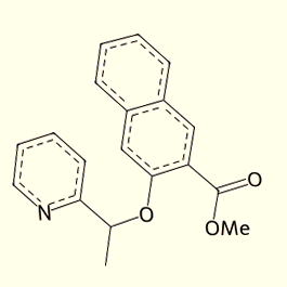 COC(=O)c1cc2ccccc2cc1OC(C)c1ccccn1